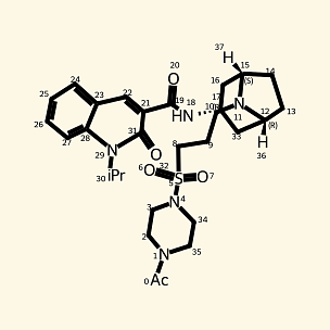 CC(=O)N1CCN(S(=O)(=O)CCCN2[C@@H]3CC[C@H]2C[C@@H](NC(=O)c2cc4ccccc4n(C(C)C)c2=O)C3)CC1